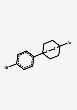 CC(=O)C12CCC(c3ccc(Br)cc3)(CC1)CC2